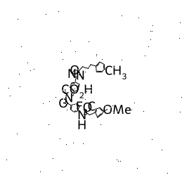 COc1ccc(CC(=O)Nc2ccc(C(=O)N(CC(=O)O)Cc3ccc(-c4noc(CCCc5ccc(C)cc5)n4)cc3)cc2)c(C(F)(F)F)c1